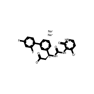 O=C([O-])C[C@H](NC(=O)Nc1c([O-])cc[nH]c1=O)c1cccc(-c2ccc(F)cc2F)c1.[Na+].[Na+]